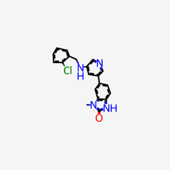 Cn1c(=O)[nH]c2ccc(-c3cncc(NCc4ccccc4Cl)c3)cc21